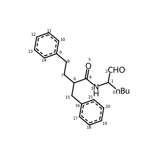 CCCCC([C]=O)NC(=O)C(CCc1ccccc1)Cc1ccccc1